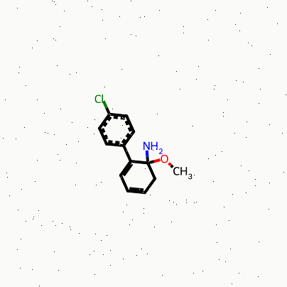 COC1(N)CC=CC=C1c1ccc(Cl)cc1